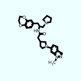 Cn1ncc2ccc(N3CCC(CC(=O)NC(Cc4ccc5c(c4)OCCO5)CN4CCCC4)C3)cc21